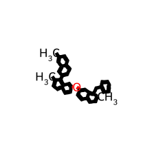 Cc1ccc2ccc(-c3c(C)ccc4ccc(Oc5ccc6ccc(C)c(Cc7ccccc7)c6c5)cc34)cc2c1